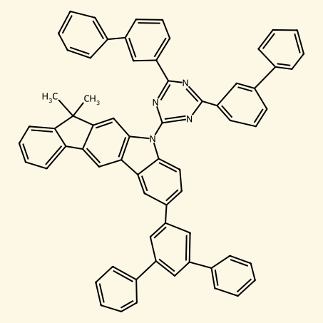 CC1(C)c2ccccc2-c2cc3c4cc(-c5cc(-c6ccccc6)cc(-c6ccccc6)c5)ccc4n(-c4nc(-c5cccc(-c6ccccc6)c5)nc(-c5cccc(-c6ccccc6)c5)n4)c3cc21